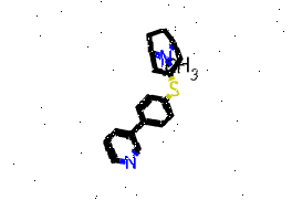 CN1C2CCC1CC(Sc1ccc(-c3cccnc3)cc1)C2